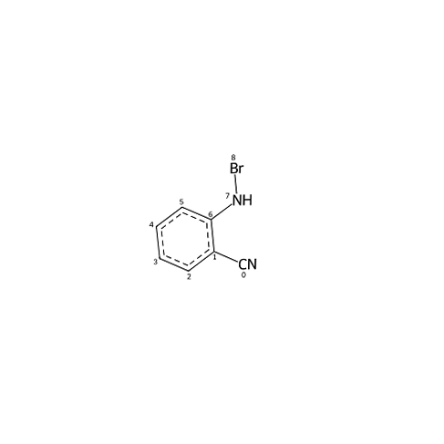 N#Cc1ccccc1NBr